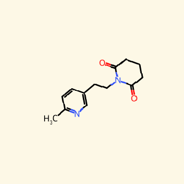 Cc1ccc(CCN2C(=O)CCCC2=O)cn1